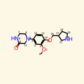 COc1cc(N2CCNC(=O)C2)ccc1OCC1CCNC1